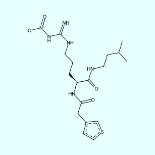 CC(C)C[CH]NC(=O)[C@H](CCCNC(=N)N[N+](=O)[O-])NC(=O)Cc1ccsc1